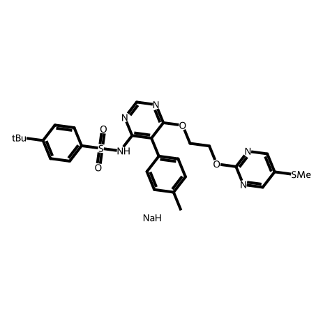 CSc1cnc(OCCOc2ncnc(NS(=O)(=O)c3ccc(C(C)(C)C)cc3)c2-c2ccc(C)cc2)nc1.[NaH]